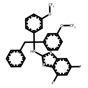 Fc1cc(F)c2nc(NC(Cc3ccccc3)(c3cccc(OC(F)(F)F)c3)c3cccc(OC(F)(F)F)c3)[nH]c2c1